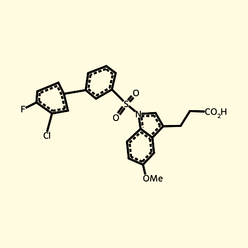 COc1ccc2c(c1)c(CCC(=O)O)cn2S(=O)(=O)c1cccc(-c2ccc(F)c(Cl)c2)c1